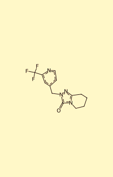 O=c1n(Cc2ccnc(C(F)(F)F)c2)nc2n1CCCC2